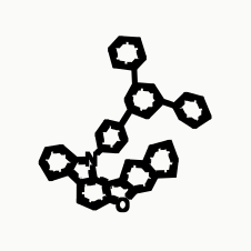 c1ccc(-c2cc(-c3ccccc3)cc(-c3ccc(-n4c5ccccc5c5ccc6oc7cc8ccccc8cc7c6c54)cc3)c2)cc1